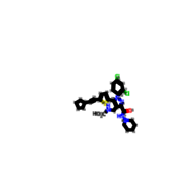 O=C(O)NCc1c(C(=O)NN2CCCCC2)nn(-c2ccc(Cl)cc2Cl)c1-c1ccc(C#CC2CCCC2)s1